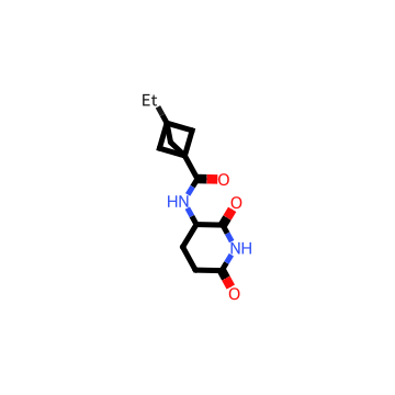 CCC12CC(C(=O)NC3CCC(=O)NC3=O)(C1)C2